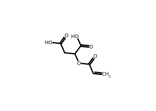 C=CC(=O)OC(CC(=O)O)C(=O)O